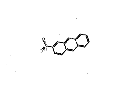 O=[SH](=O)c1ccc2cc3ccccc3cc2c1